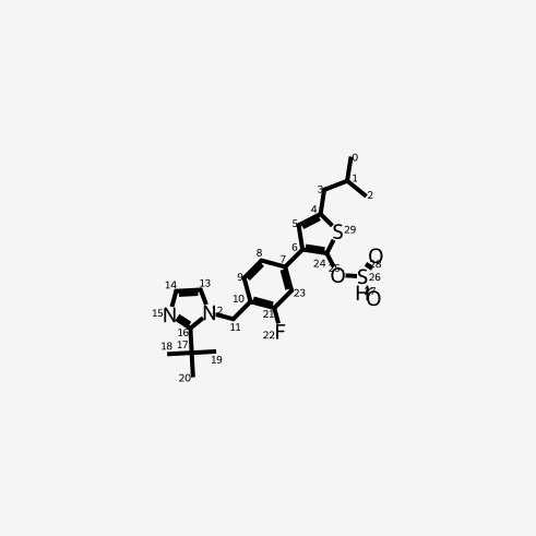 CC(C)Cc1cc(-c2ccc(Cn3ccnc3C(C)(C)C)c(F)c2)c(O[SH](=O)=O)s1